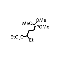 CCOC(=O)C(CC)CC[Si](OC)(OC)OC